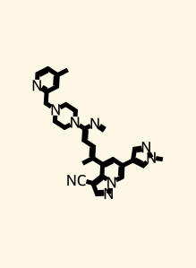 C=N/C(=C\C=C(/C)c1cc(-c2cnn(C)c2)cn2ncc(C#N)c12)N1CCN(Cc2cc(C)ccn2)CC1